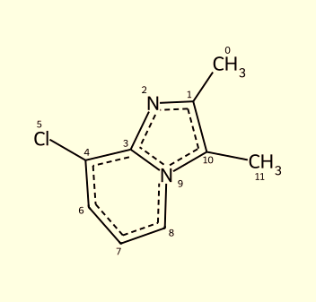 Cc1nc2c(Cl)cccn2c1C